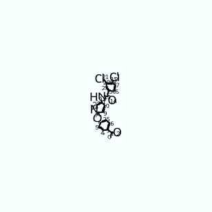 CC(=O)c1ccc(Oc2ccc(NC(=O)c3ccc(Cl)c(Cl)c3)cn2)cc1